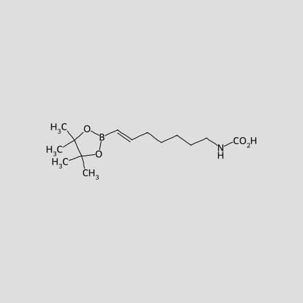 CC1(C)OB(/C=C/CCCCCNC(=O)O)OC1(C)C